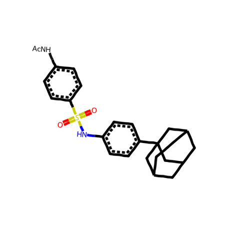 CC(=O)Nc1ccc(S(=O)(=O)Nc2ccc(C34CC5CC(CC(C5)C3)C4)cc2)cc1